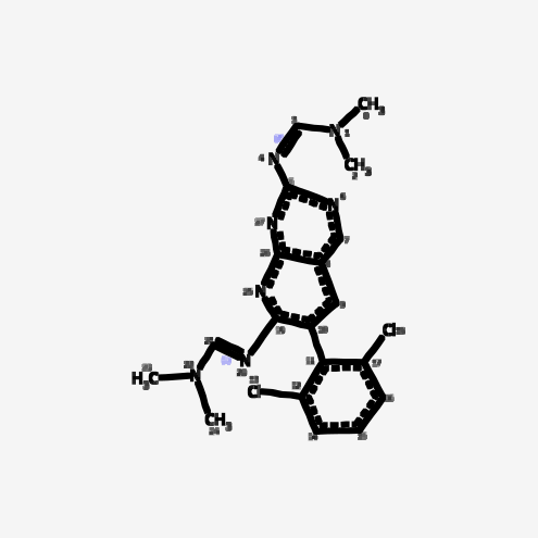 CN(C)/C=N\c1ncc2cc(-c3c(Cl)cccc3Cl)c(/N=C/N(C)C)nc2n1